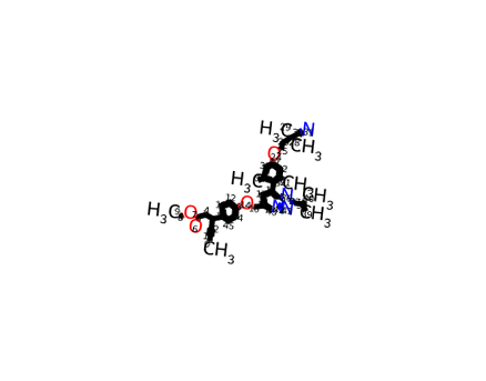 CC#CC(CC(=O)OCC)c1ccc(OCc2cc(-c3c(C)cc(OCCC(C)(C)C#N)cc3C)c3nc(C(C)C)nn3c2)cc1